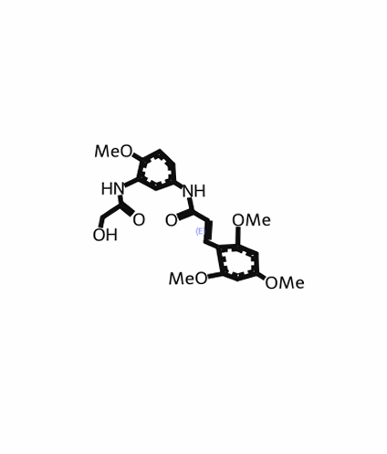 COc1cc(OC)c(/C=C/C(=O)Nc2ccc(OC)c(NC(=O)CO)c2)c(OC)c1